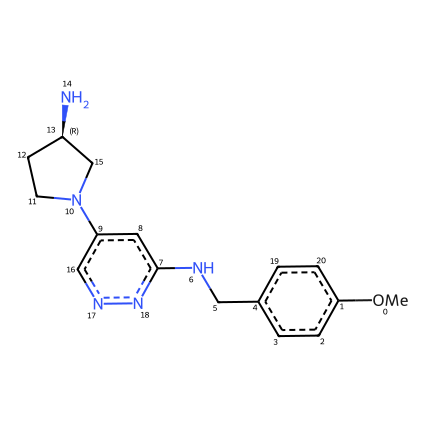 COc1ccc(CNc2cc(N3CC[C@@H](N)C3)cnn2)cc1